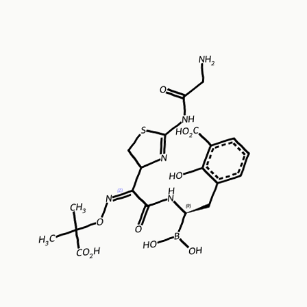 CC(C)(O/N=C(\C(=O)N[C@@H](Cc1cccc(C(=O)O)c1O)B(O)O)C1CSC(NC(=O)CN)=N1)C(=O)O